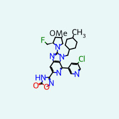 CO[C@@H]1C[C@H](CF)N(c2nc3cc(-c4noc(=O)[nH]4)nc(-c4cncc(Cl)c4)c3n2CC2CCC(C)CC2)C1